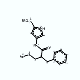 CCOC(=O)c1cc(NC(=O)C(CSC(C)=O)Cc2ccccc2)c[nH]1